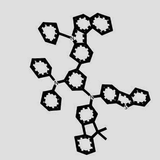 CC1(C)c2ccccc2-c2ccc(N(c3cc(-c4ccc5c6c7ccccc7ccc6n(-c6ccccc6)c5c4)cc(N(c4ccccc4)c4ccccc4)c3)c3ccc4c(c3)sc3ccccc34)cc21